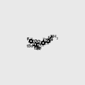 CCOc1c(C(C)(C)C)c(C(C)(C)C)n(-c2ccc(F)cc2)c(=O)c1C(=O)Nc1ccc(-c2ccc3nc(N)sc3n2)c(C)c1